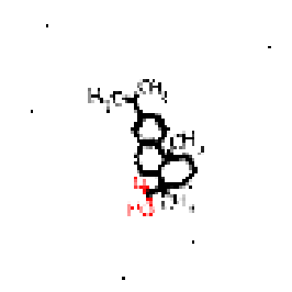 CC(C)c1ccc2c(c1)CCC1C(C)(C(=O)O)CCCC21C